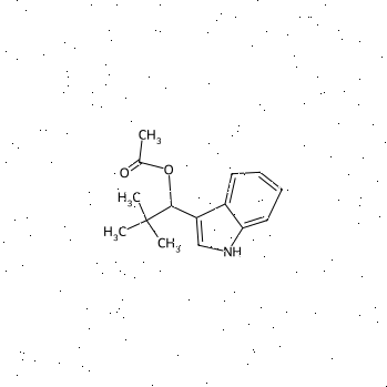 CC(=O)OC(c1c[nH]c2ccccc12)C(C)(C)C